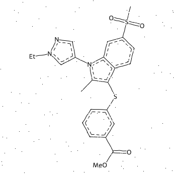 CCn1cc(-n2c(C)c(Sc3cccc(C(=O)OC)c3)c3ccc(S(C)(=O)=O)cc32)cn1